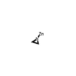 [Zn][N]1CC1